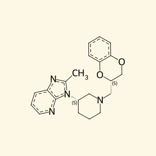 Cc1nc2cccnc2n1[C@H]1CCCN(C[C@H]2COc3ccccc3O2)C1